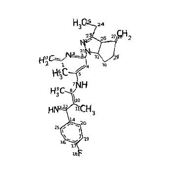 C=C/N=C(\C=C(/C)N/C(C)=C(\C)C(=N)c1ccc(F)cc1)N1N=C(CC)C2C(=C)CCC21